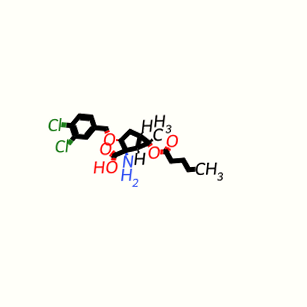 CCCCC(=O)O[C@@]1(C)[C@@H]2C[C@@H](OCc3ccc(Cl)c(Cl)c3)[C@@](N)(C(=O)O)[C@@H]21